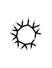 FC1C(F)(F)C(F)(F)OC(F)(F)C(F)(F)C(F)(F)C(F)(F)C(F)(F)C1(F)F